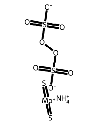 O=S(=O)([O-])OOS(=O)(=O)[O-].[NH4+].[S]=[Mo+]=[S]